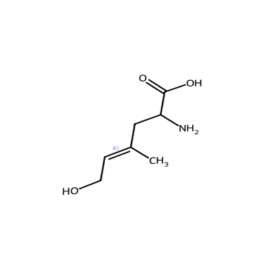 C/C(=C\CO)CC(N)C(=O)O